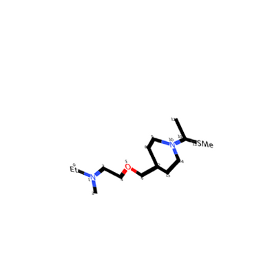 CCN(C)CCOCC1CCN(C(C)SC)CC1